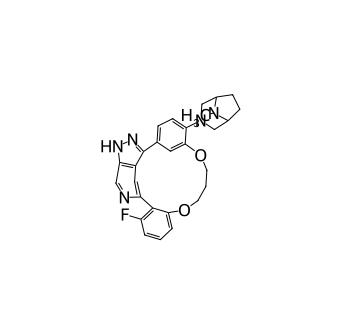 CN1C2CCC1CN(c1ccc3cc1OCCCOc1cccc(F)c1-c1cc4c-3n[nH]c4cn1)C2